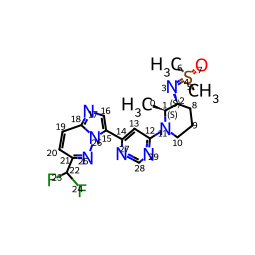 C[C@H]1[C@@H](N=S(C)(C)=O)CCCN1c1cc(-c2cnc3ccc(C(F)F)nn23)ncn1